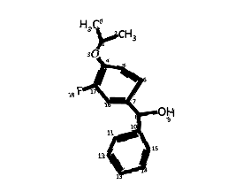 CC(C)Oc1ccc(C(O)c2ccccc2)cc1F